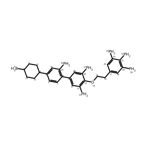 BC1CCC(c2ccc(-c3cc(P)c(OCCc4cc(P)c(P)c(P)c4)c(P)c3)c(P)c2)CC1